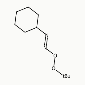 CC(C)(C)OON=NC1CCCCC1